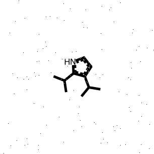 CC(C)c1cc[nH]c1C(C)C